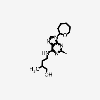 CC(CO)CCNc1nc(F)nc2c1ncn2C1CCCCCO1